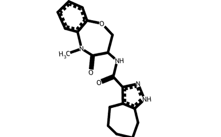 CN1C(=O)C(NC(=O)c2n[nH]c3c2CCCCC3)COc2ccccc21